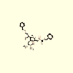 CC(C)CC(NC(=O)CNC(=O)OCc1ccccc1)C(=O)C(F)CCCCc1ccccc1